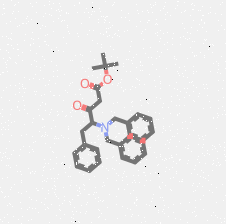 CC(C)(C)OC(=O)CC(=O)C(Cc1ccccc1)N(Cc1ccccc1)Cc1ccccc1